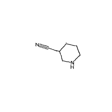 N#CC1[CH]CCNC1